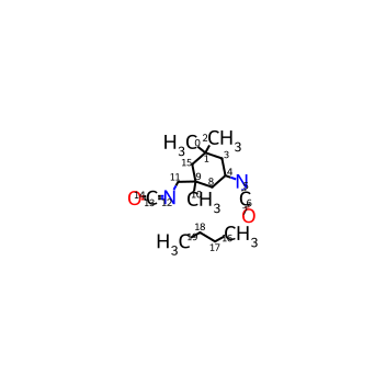 CC1(C)CC(N=C=O)CC(C)(CN=C=O)C1.CCCC